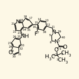 CC(C)(C)OC(=O)N1CCN(Cc2ccc(-c3ccc4nccc(Nc5ccc6occc6c5)c4c3)c(F)c2)CC1